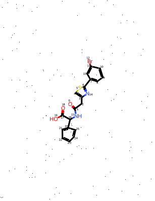 O=C(Cc1csc(-c2cccc(Br)c2)n1)NC(C(=O)O)c1ccccc1